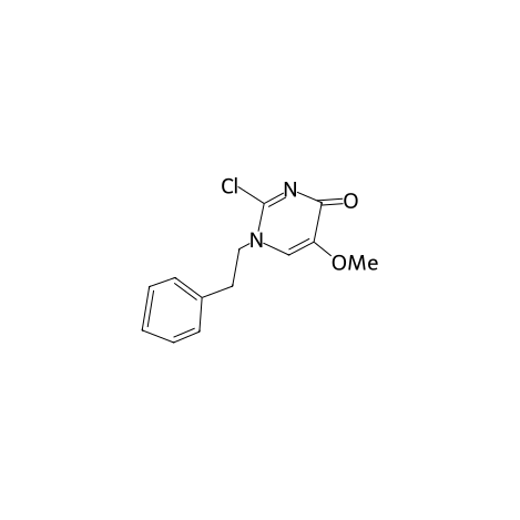 COc1cn(CCc2ccccc2)c(Cl)nc1=O